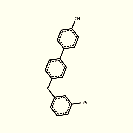 CCCc1cccc(Sc2ccc(-c3ccc(C#N)cc3)cc2)c1